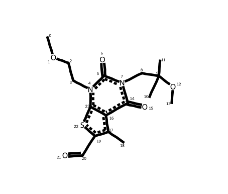 COCCn1c(=O)n(CC(C)(C)OC)c(=O)c2c(C)c(C=O)sc21